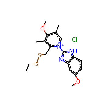 CCSSCc1c(C)c(OC)c(C)c[n+]1-c1nc2cc(OC)ccc2[nH]1.[Cl-]